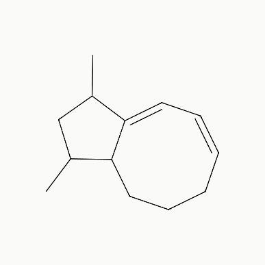 CC1CC(C)C2CCCC=CC=C12